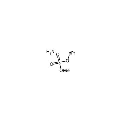 CCCOS(=O)(=O)OC.N